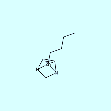 CCC[CH2][Zn]1[N]2C=C[N]1C2